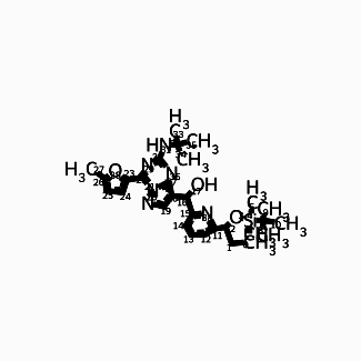 CCC(O[Si](C)(C)C(C)(C)C)c1cccc(C(O)c2cnn3c(-c4ccc(C)o4)nc(NC(C)(C)C)nc23)n1